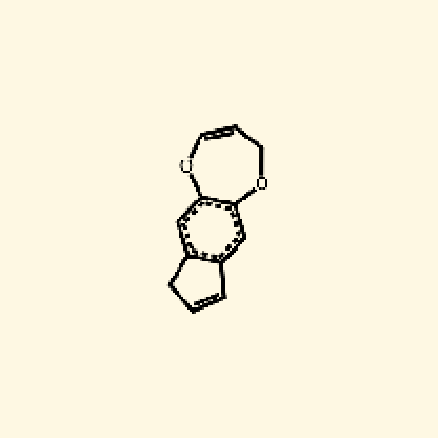 C1=COc2cc3c(cc2OC1)C=CC3